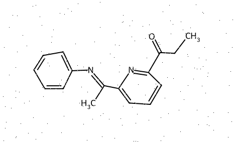 CCC(=O)c1cccc(/C(C)=N/c2ccccc2)n1